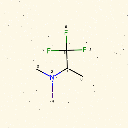 CC(N(C)I)C(F)(F)F